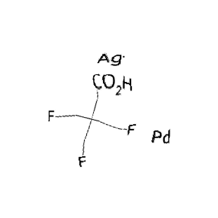 O=C(O)C(F)(F)F.[Ag].[Pd]